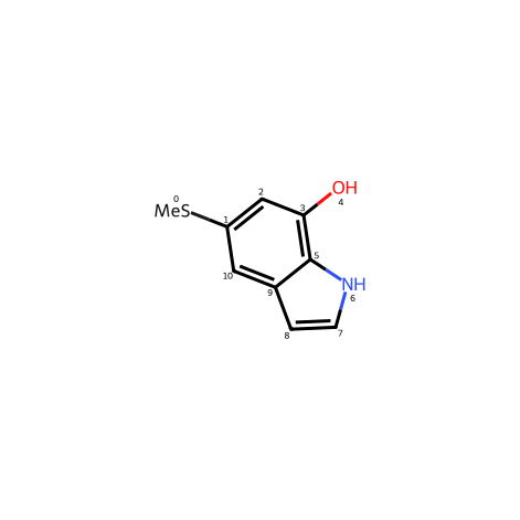 CSc1cc(O)c2[nH]ccc2c1